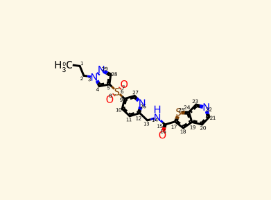 CCCn1cc(S(=O)(=O)c2ccc(CNC(=O)c3cc4ccncc4s3)nc2)cn1